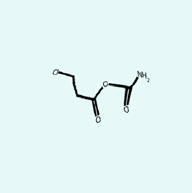 NC(=O)OC(=O)CCCl